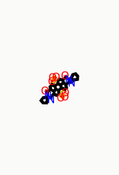 O=c1c2cc3c4c5c(cc6c(=O)n7c8ccccc8nc7c7cc8c(c9c(cc(c2c94)c2nc4ccccc4n12)OS8(=O)=O)c5c67)OS3(=O)=O